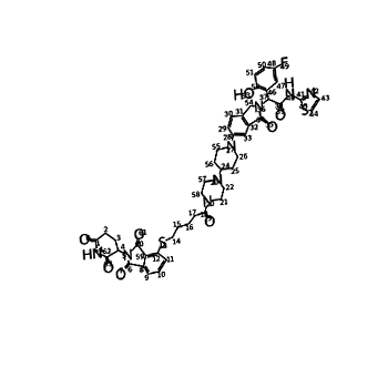 O=C1CCC(N2C(=O)c3cccc(SCCCCC(=O)N4CCN(C5CCN(c6ccc7c(c6)C(=O)N(C(C(=O)Nc6nccs6)c6cc(F)ccc6O)C7)CC5)CC4)c3C2=O)C(=O)N1